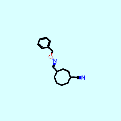 N#CC1CCCCC(C=NOCc2ccccc2)CC1